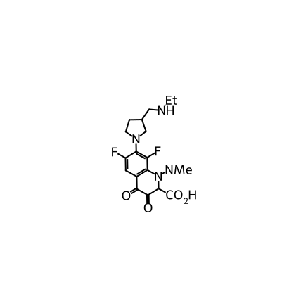 CCNCC1CCN(c2c(F)cc3c(c2F)N(NC)C(C(=O)O)C(=O)C3=O)C1